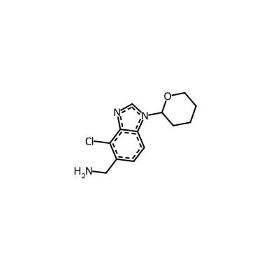 NCc1ccc2c(ncn2C2CCCCO2)c1Cl